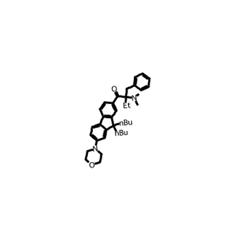 CCCCC1(CCCC)c2cc(C(=O)C(CC)(Cc3ccccc3)N(C)C)ccc2-c2ccc(N3CCOCC3)cc21